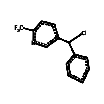 FC(F)(F)c1ccc(C(Cl)c2ccccc2)cn1